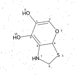 OC1=COC2SCNC2=C1O